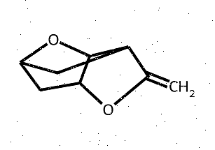 C=C1OC2CC3CC1C2O3